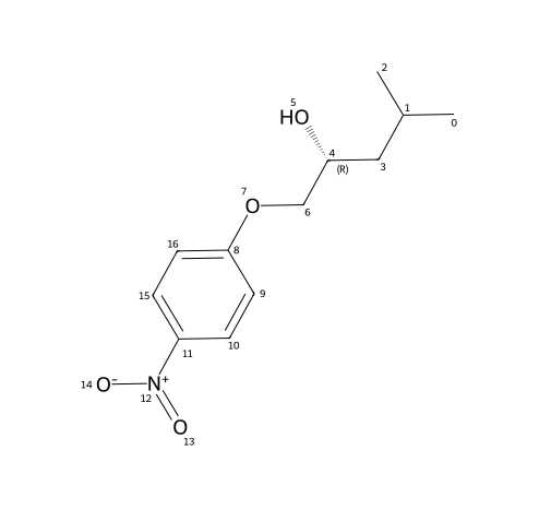 CC(C)C[C@@H](O)COc1ccc([N+](=O)[O-])cc1